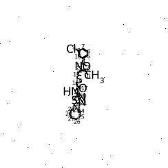 Cc1oc(-c2cccc(Cl)c2)nc1CSCC(=O)Nc1nnc(N2CCCCCC2)s1